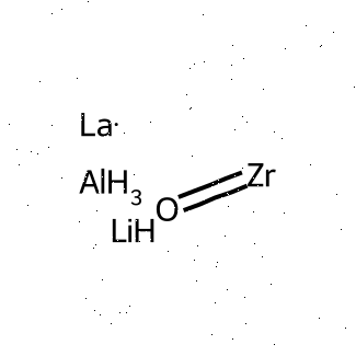 [AlH3].[La].[LiH].[O]=[Zr]